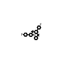 CC1(C)C2=C3C(CC(c4ccc(F)cc4)=C2)C(C)(C)c2cc(C4=CCC(F)C=C4)ccc2N3c2ccccc21